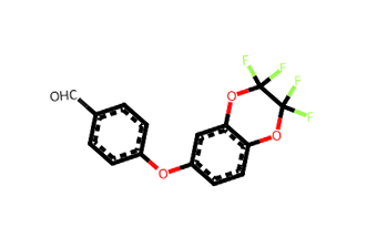 O=Cc1ccc(Oc2ccc3c(c2)OC(F)(F)C(F)(F)O3)cc1